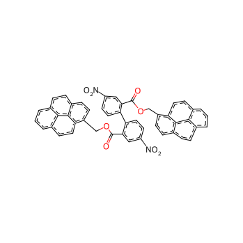 O=C(OCc1ccc2ccc3cccc4ccc1c2c34)c1cc([N+](=O)[O-])ccc1-c1ccc([N+](=O)[O-])cc1C(=O)OCc1ccc2ccc3cccc4ccc1c2c34